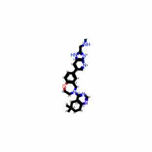 CNCc1nc2ncc(-c3ccc4c(c3)CN(c3ncnc5c3CC(C)(C)CC5)CCO4)cc2[nH]1